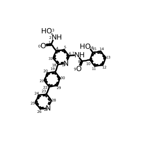 O=C(NO)c1cc(NC(=O)c2ccccc2O)nc(-c2ccc(-c3cccnc3)cc2)c1